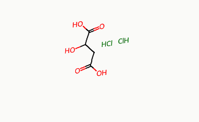 Cl.Cl.O=C(O)CC(O)C(=O)O